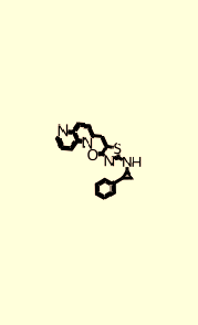 O=C1N=C(NC2CC2c2ccccc2)SC1=Cc1ccc2ncccc2n1